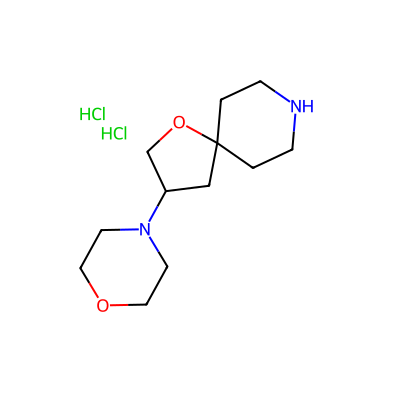 C1CC2(CCN1)CC(N1CCOCC1)CO2.Cl.Cl